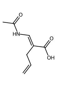 C=CC/C(=C\NC(C)=O)C(=O)O